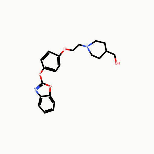 OCC1CCN(CCOc2ccc(Oc3nc4ccccc4o3)cc2)CC1